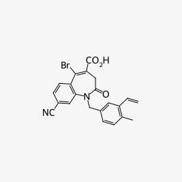 C=Cc1cc(CN2C(=O)CC(C(=O)O)=C(Br)c3ccc(C#N)cc32)ccc1C